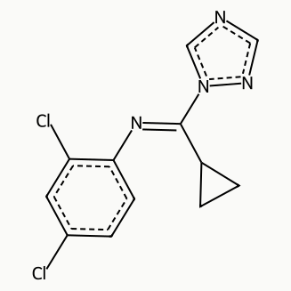 Clc1ccc(/N=C(\C2CC2)n2cncn2)c(Cl)c1